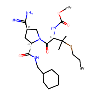 CCCOC(=O)N[C@@H](C(=O)N1C[C@H](C(=N)N)C[C@H]1C(=O)NCC1CCCCC1)C(C)(C)SCCC(C)C